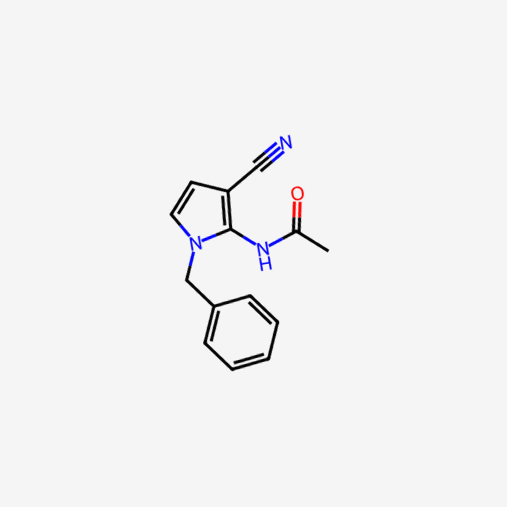 CC(=O)Nc1c(C#N)ccn1Cc1ccccc1